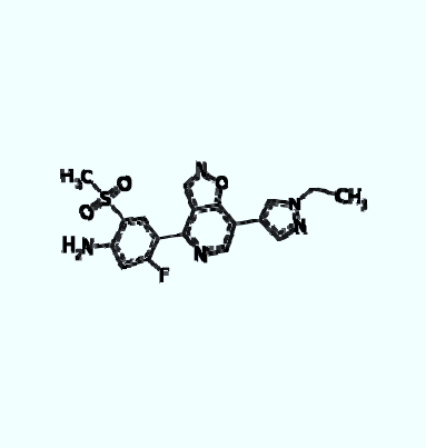 CCn1cc(-c2cnc(-c3cc(S(C)(=O)=O)c(N)cc3F)c3cnoc23)cn1